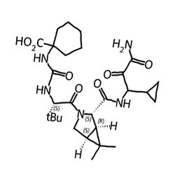 CC(C)(C)[C@H](NC(=O)NC1(C(=O)O)CCCCC1)C(=O)N1C[C@H]2[C@@H]([C@H]1C(=O)NC(C(=O)C(N)=O)C1CC1)C2(C)C